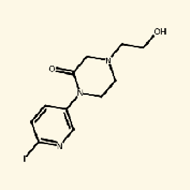 O=C1CN(CCO)CCN1c1ccc(I)nc1